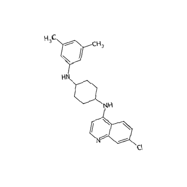 Cc1cc(C)cc(NC2CCC(Nc3ccnc4cc(Cl)ccc34)CC2)c1